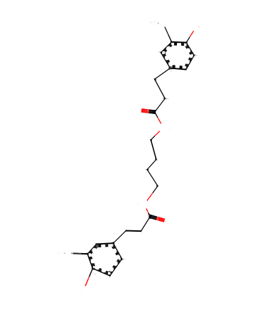 COc1cc(CCC(=O)OCCCCOC(=O)CCc2ccc(O)c(OC)c2)ccc1O